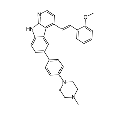 COc1ccccc1C=Cc1ccnc2[nH]c3ccc(-c4ccc(N5CCN(C)CC5)cc4)cc3c12